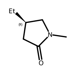 CC[C@@H]1CC(=O)N(C)C1